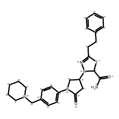 NC(=O)C1SC(CCc2ccccc2)=NN1C1CC(=O)N(c2ccc(CN3CCCCC3)cc2)C1